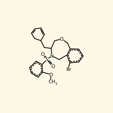 COc1ccccc1S(=O)(=O)N1Cc2c(Br)cccc2COCC1CC1C=CC=CC1